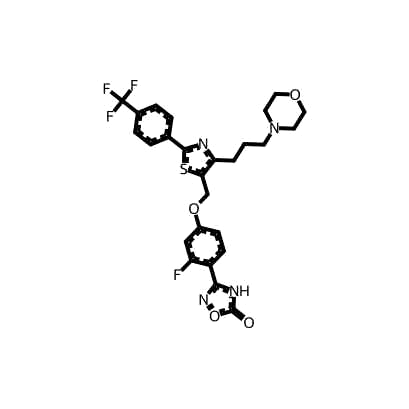 O=c1[nH]c(-c2ccc(OCc3sc(-c4ccc(C(F)(F)F)cc4)nc3CCCN3CCOCC3)cc2F)no1